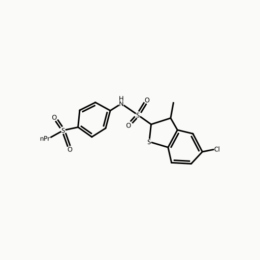 CCCS(=O)(=O)c1ccc(NS(=O)(=O)C2Sc3ccc(Cl)cc3C2C)cc1